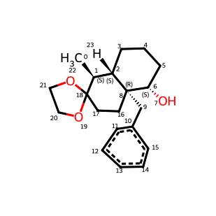 C[C@H]1[C@@H]2CCC[C@H](O)[C@@]2(Cc2ccccc2)CCC12OCCO2